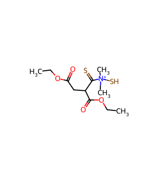 CCOC(=O)CC(C(=O)OCC)C(=S)[N+](C)(C)S